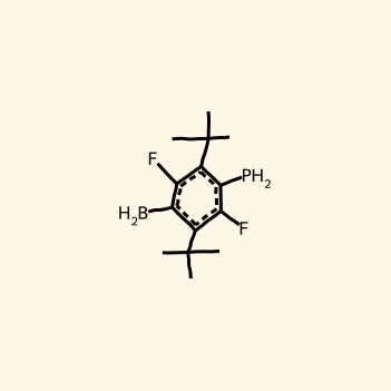 Bc1c(F)c(C(C)(C)C)c(P)c(F)c1C(C)(C)C